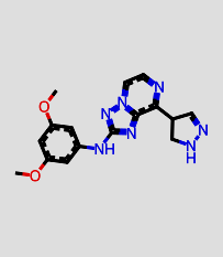 COc1cc(Nc2nc3c(C4C=NNC4)nccn3n2)cc(OC)c1